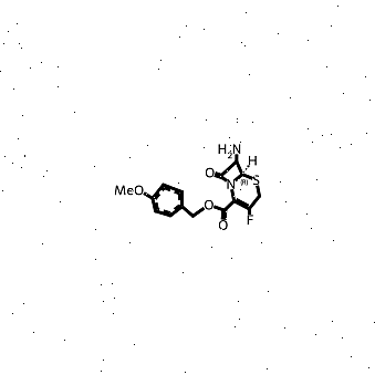 COc1ccc(COC(=O)C2=C(F)CS[C@@H]3C(N)C(=O)N23)cc1